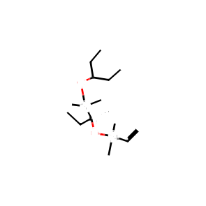 C=C[Si](C)(C)O[C@@](C)(CC)[Si](C)(C)OC(CC)CC